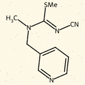 CSC(=NC#N)N(C)Cc1cccnc1